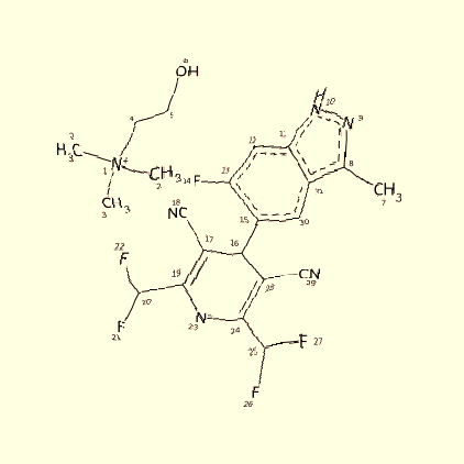 C[N+](C)(C)CCO.Cc1n[nH]c2cc(F)c(C3C(C#N)=C(C(F)F)[N-]C(C(F)F)=C3C#N)cc12